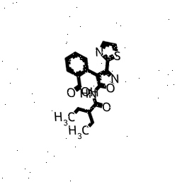 CCC(CC)C(=O)Nc1onc(-c2nccs2)c1-c1ccccc1C(=O)O